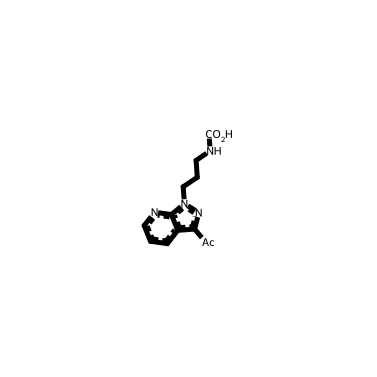 CC(=O)c1nn(CCCNC(=O)O)c2ncccc12